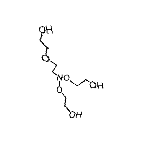 OCCOCCN(OCCO)OCCO